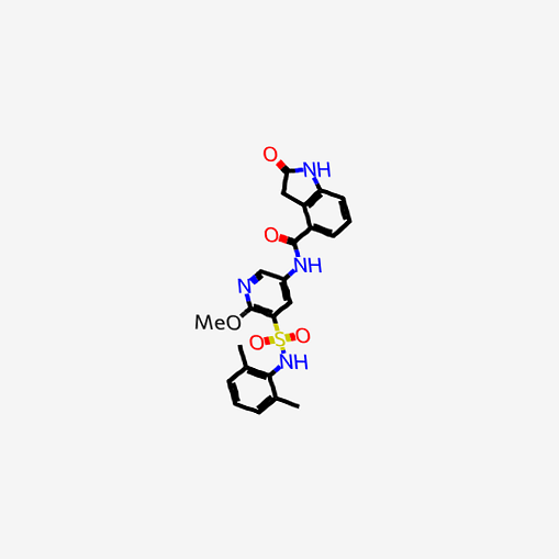 COc1ncc(NC(=O)c2cccc3c2CC(=O)N3)cc1S(=O)(=O)Nc1c(C)cccc1C